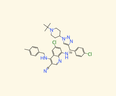 Cc1ccc(CNc2c(C#N)cnc3c(N[C@@H](c4ccc(Cl)cc4)c4cn(C5CCN(C(C)(C)C)CC5)nn4)cc(Cl)cc23)cc1